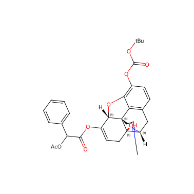 CC(=O)OC(C(=O)OC1=CC[C@@]2(O)[C@H]3Cc4ccc(OC(=O)OC(C)(C)C)c5c4[C@@]2(CCN3C)[C@H]1O5)c1ccccc1